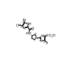 CCOC(=O)c1sc(N2CC[C@H](NC(=O)c3nc(Cl)c(CC)[nH]3)C2)nc1C